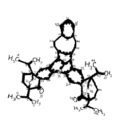 CC(C)C12CCC(C(C)C)(CC1)c1cc3c4c5cc(c6c7cc8c(cc7n(c3cc1C2=O)c46)C(=O)C1(C(C)C)CCC8(C(C)C)CC1)CCc1cccc(c1)CC5